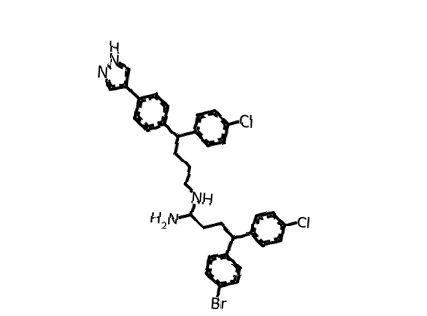 NC(CCC(c1ccc(Cl)cc1)c1ccc(Br)cc1)NCCCC(c1ccc(Cl)cc1)c1ccc(-c2cn[nH]c2)cc1